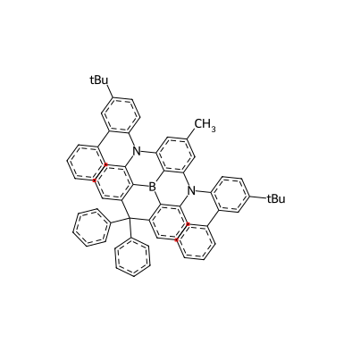 Cc1cc2c3c(c1)N(c1ccc(C(C)(C)C)cc1-c1ccccc1)c1cccc4c1B3c1c(cccc1C4(c1ccccc1)c1ccccc1)N2c1ccc(C(C)(C)C)cc1-c1ccccc1